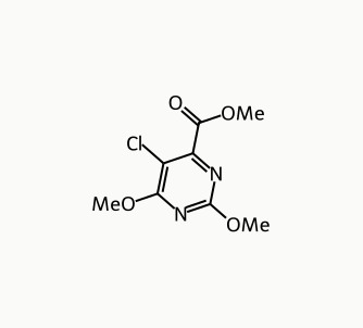 COC(=O)c1nc(OC)nc(OC)c1Cl